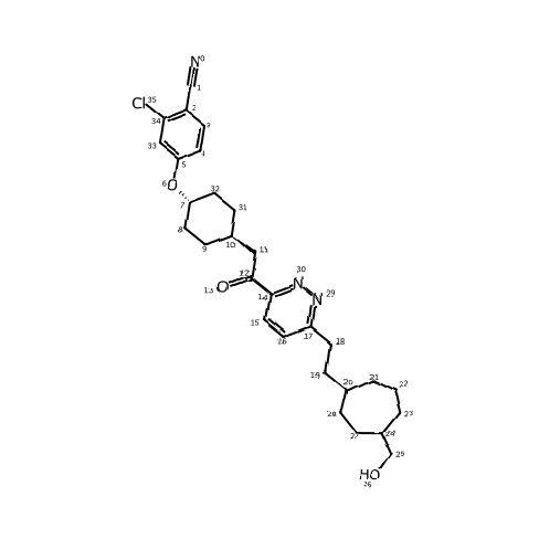 N#Cc1ccc(O[C@H]2CC[C@H](CC(=O)c3ccc(CCC4CCCC(CO)CC4)nn3)CC2)cc1Cl